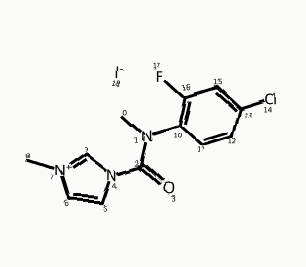 CN(C(=O)n1cc[n+](C)c1)c1ccc(Cl)cc1F.[I-]